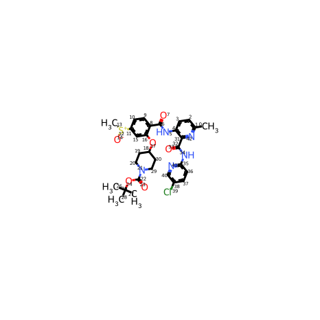 Cc1ccc(NC(=O)c2ccc([S+](C)[O-])cc2OC2CCN(C(=O)OC(C)(C)C)CC2)c(C(=O)Nc2ccc(Cl)cn2)n1